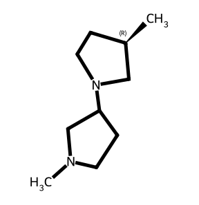 C[C@@H]1CCN(C2CCN(C)C2)C1